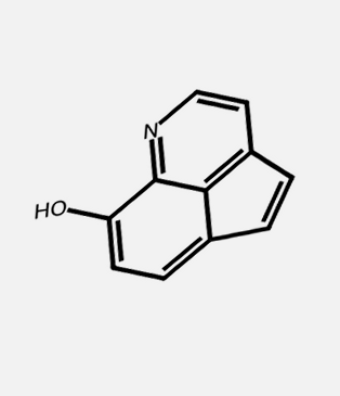 Oc1ccc2c3c(ccnc13)C=C2